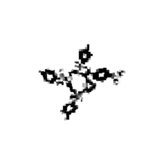 Cc1ccc(S(=O)(=O)N2CCN(S(=O)(=O)c3ccc(C)cc3)Cc3cccc(n3)C(Cc3ccc([N+](=O)[O-])cc3)N(S(=O)(=O)c3ccc(C)cc3)CC2)cc1